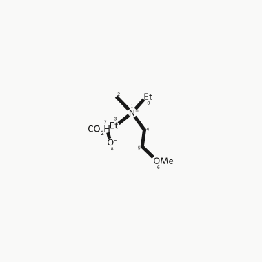 CC[N+](C)(CC)CCOC.O=C([O-])O